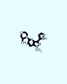 CC1COCCN1c1ccc2c(n1)c(-c1ccn[nH]1)nn2C